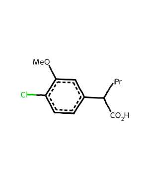 COc1cc(C(C(=O)O)C(C)C)ccc1Cl